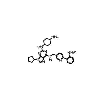 CNc1ccccc1-c1ccc(CNc2nc(NC3CCC(N)CC3)nc3c2ncn3C2CCCC2)cn1